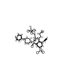 C#Cc1cc([N+](=O)[O-])cc(S(=O)(=O)N2CCN(c3ccncc3)CC2)c1N(CCBr)CCOS(C)(=O)=O